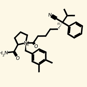 Cc1ccc(C[N@+]2(C(=O)CCCC[C@@](C#N)(c3ccccc3)C(C)C)CCCC2C(N)=O)cc1C